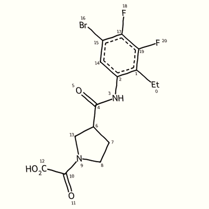 CCc1c(NC(=O)C2CCN(C(=O)C(=O)O)C2)cc(Br)c(F)c1F